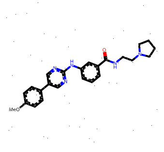 COc1ccc(-c2cnc(Nc3cccc(C(=O)NCCN4CCCC4)c3)nc2)cc1